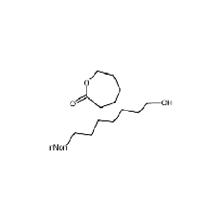 CCCCCCCCCCCCCCCCO.O=C1CCCCCO1